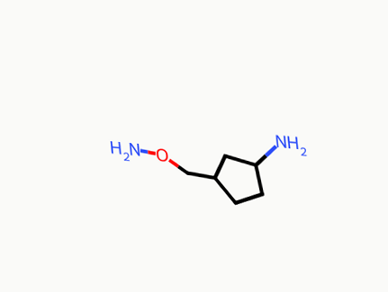 NOCC1CCC(N)C1